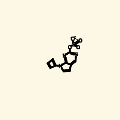 O=S(=O)(Oc1ncc2ccn(C3=CC=C3)c2n1)C(F)(F)F